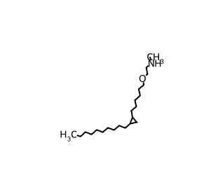 CCCCCCCCCCC1CC1CCCCCCOCCNC